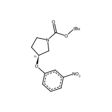 CC(C)(C)OC(=O)N1CC[C@H](Oc2cccc([N+](=O)[O-])c2)C1